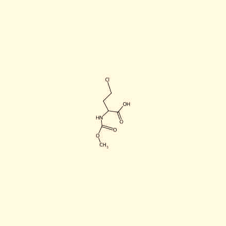 COC(=O)NC(CCCl)C(=O)O